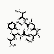 CN[C@@H](C)C(=O)N[C@@H](CC(C)C)C(=O)N(C)CC(=O)N(C)[C@@H](C)C(=O)N[C@@H](CC(C)C)C(=O)N(C)[C@@H](Cc1ccccc1)C(=O)N[C@@H](C)C(=O)O